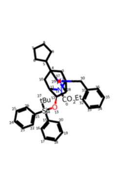 CCOC(=O)N1C2CC3(C4CCCC4)CC1[C@H](O[Si](c1ccccc1)(c1ccccc1)C(C)(C)C)C2N(Cc1ccccc1)C3